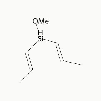 CC=C[SiH](C=CC)OC